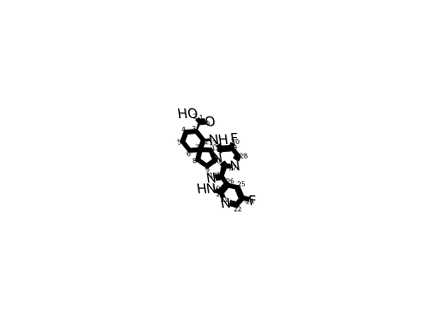 O=C(O)[C@@H]1CCCC2(CCCC2)[C@@H]1Nc1nc(-c2n[nH]c3ncc(F)cc23)ncc1F